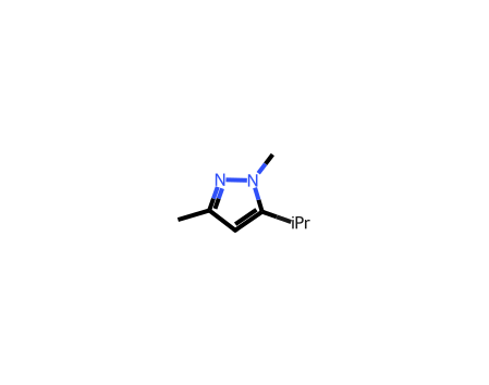 Cc1cc(C(C)C)n(C)n1